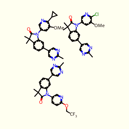 COc1cc(N2C(=O)C(C)(C)c3ccc(-c4cnc(C)nc4)cc32)cnc1C1CC1.COc1cc(N2C(=O)C(C)(C)c3ccc(-c4cnc(C)nc4)cc32)cnc1Cl.Cc1ncc(-c2ccc3c(c2)N(c2ccc(OCC(F)(F)F)nc2)C(=O)C3(C)C)cn1